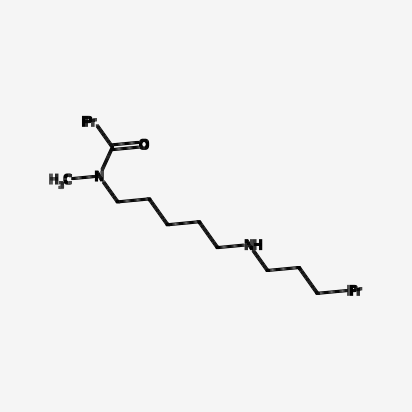 CC(C)CCCNCCCCCN(C)C(=O)C(C)C